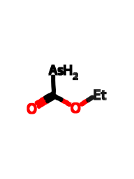 CCOC(=O)[AsH2]